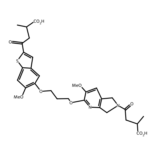 COc1cc2sc(C(=O)CC(C)C(=O)O)cc2cc1OCCCOc1nc2c(cc1OC)CN(C(=O)CC(C)C(=O)O)C2